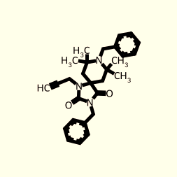 C#CCN1C(=O)N(Cc2ccccc2)C(=O)C12CC(C)(C)N(Cc1ccccc1)C(C)(C)C2